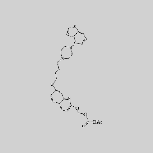 COC(=O)OCOc1ccc2ccc(OCCCCN3CCN(c4cccc5sccc45)CC3)cc2n1